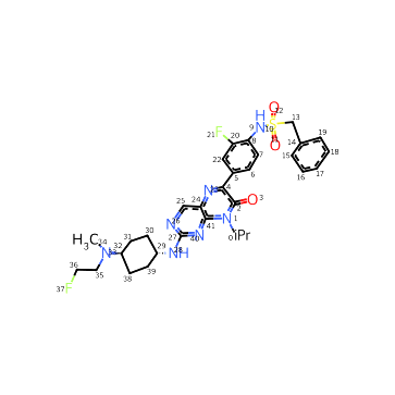 CC(C)n1c(=O)c(-c2ccc(NS(=O)(=O)Cc3ccccc3)c(F)c2)nc2cnc(N[C@H]3CC[C@H](N(C)CCF)CC3)nc21